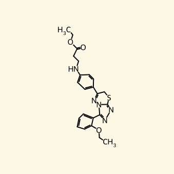 CCOC(=O)CCNc1ccc(C2=Nn3c(nnc3-c3ccccc3OCC)SC2)cc1